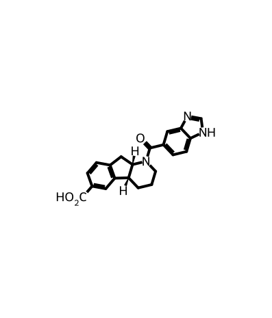 O=C(O)c1ccc2c(c1)[C@H]1CCCN(C(=O)c3ccc4[nH]cnc4c3)[C@H]1C2